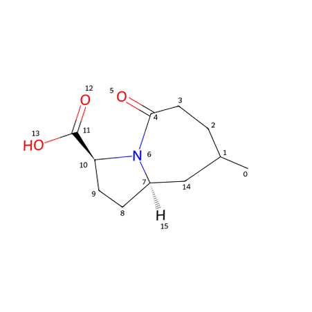 CC1CCC(=O)N2[C@H](CC[C@H]2C(=O)O)C1